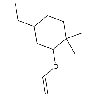 C=COC1CC(CC)CCC1(C)C